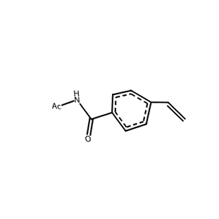 C=Cc1ccc(C(=O)[NH][Ac])cc1